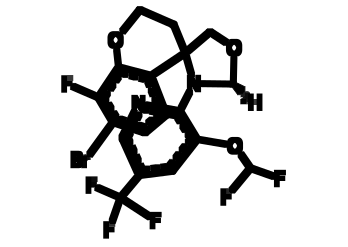 [2H][C@@H]1OCC2(CCOc3c2ccc(Br)c3F)N1c1ncc(C(F)(F)F)cc1OC(F)F